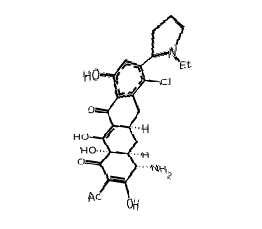 CCN1CCCC1c1cc(O)c2c(c1Cl)C[C@H]1C[C@H]3[C@H](N)C(O)=C(C(C)=O)C(=O)[C@@]3(O)C(O)=C1C2=O